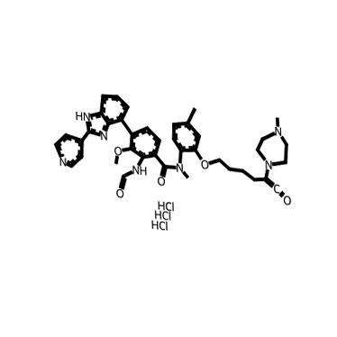 COc1c(-c2cccc3[nH]c(-c4ccncc4)nc23)ccc(C(=O)N(C)c2ccc(C)cc2OCCCCC(=C=O)N2CCN(C)CC2)c1NC=O.Cl.Cl.Cl